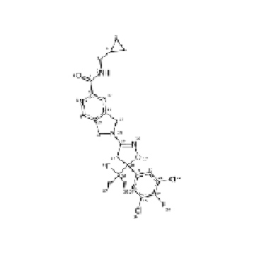 O=C(NCC1CC1)c1ncc2c(n1)CN(C1=NOC(c3cc(Cl)c(F)c(Cl)c3)(C(F)(F)F)C1)C2